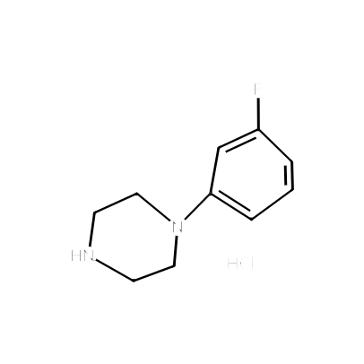 CCc1cccc(N2CCNCC2)c1.Cl